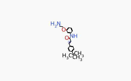 CC(C)(C)c1ccc(/C=C/C(=O)Nc2cccc(OCCN)c2)cc1